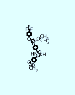 CCS(=O)(=O)c1ccc([C@H](CO)NC(=O)c2ccc(N3CC(Oc4ccc(C(F)(F)F)cc4)C[C@H]3COC(C)C)cc2)cc1